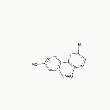 [CH2]Cc1ccc(OC)c(-c2ccc(C#N)cc2C)c1